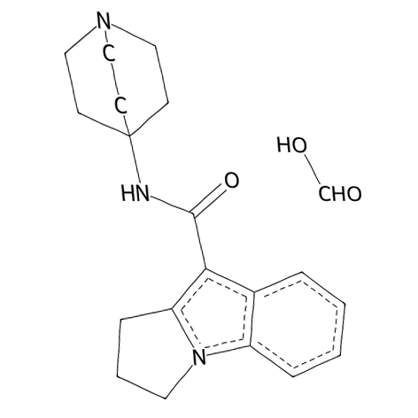 O=C(NC12CCN(CC1)CC2)c1c2n(c3ccccc13)CCC2.O=CO